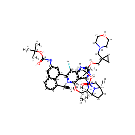 C#Cc1cccc2cc(NC(=O)OC(C)(C)C)cc(-c3nc4c5c(nc(OCC6(CN7CCOCC7)CC6)nc5c3F)N3C[C@H]5CC[C@@H]([C@H]3[C@H](C)O4)N5C(=O)OC(C)(C)C)c12